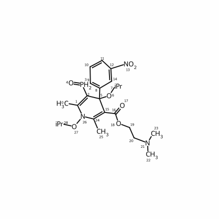 CC1=C([PH2]=O)C(OC(C)C)(c2cccc([N+](=O)[O-])c2)C(C(=O)OCCN(C)C)=C(C)N1OC(C)C